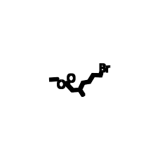 CCOC(=O)CC(C)CCCCBr